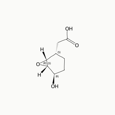 O=C(O)C[C@@H]1CC[C@@H](O)[C@@H]2O[C@H]12